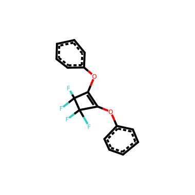 FC1(F)C(Oc2ccccc2)=C(Oc2ccccc2)C1(F)F